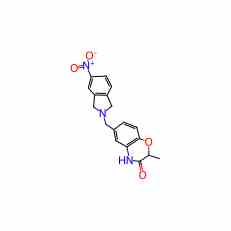 CC1Oc2ccc(CN3Cc4ccc([N+](=O)[O-])cc4C3)cc2NC1=O